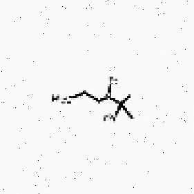 CCCC(C)(C)N(CC)CCOC